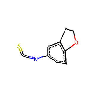 S=C=Nc1ccc2c(c1)CCO2